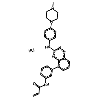 C=CC(=O)Nc1cccc(-c2cccc3cnc(Nc4ccc(N5CCN(C)CC5)cc4)nc23)c1.Cl